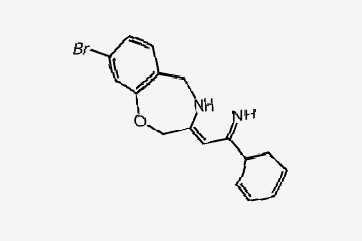 N=C(/C=C1/COc2cc(Br)ccc2CN1)C1C=CC=CC1